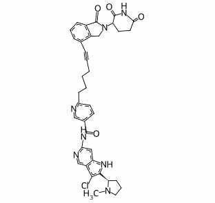 CN1CCC[C@@H]1c1[nH]c2cc(NC(=O)c3ccc(CCCCC#Cc4cccc5c4CN(C4CCC(=O)NC4=O)C5=O)nc3)ncc2c1Cl